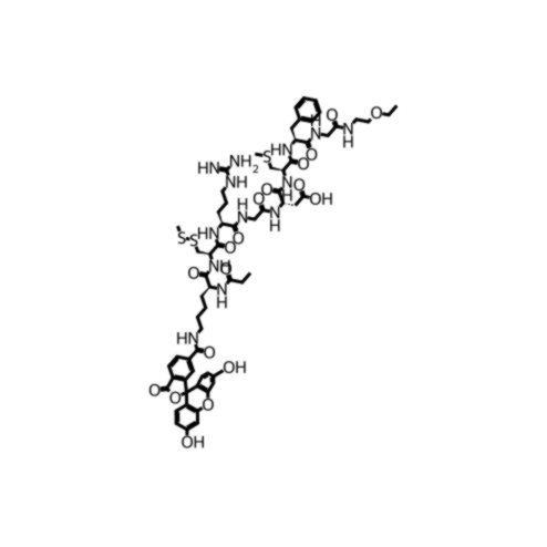 CCOCCNC(=O)CNC(=O)[C@H](Cc1ccccc1)NC(=O)[C@H](CSC)NC(=O)[C@H](CC(=O)O)NC(=O)CNC(=O)[C@H](CCCNC(=N)N)NC(=O)[C@H](CSSC)NC(=O)[C@H](CCCCNC(=O)c1ccc2c(c1)C1(OC2=O)c2ccc(O)cc2Oc2cc(O)ccc21)NC(=O)CC